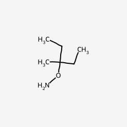 CCC(C)(CC)ON